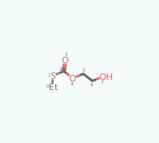 CCSC(=O)OCCO